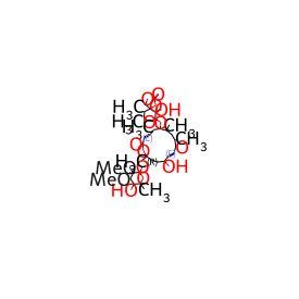 COC1C(OC[C@H]2CC(O)/C=C/C(=O)C(C)CC(C)C(OC3OC(C)CC4(OC(=O)OC4C)C3O)C(C)/C=C/C(=O)OC2C)OC(C)C(O)C1OC